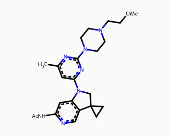 COCCN1CCN(c2nc(C)cc(N3CC4(CC4)c4cnc(NC(C)=O)cc43)n2)CC1